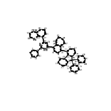 c1ccc(-c2nc(-c3ccc(-c4cccc5c4-c4ccccc4C5(c4ccccc4)c4ccccc4)c4ccccc34)cc(-c3cccc4cccnc34)n2)cc1